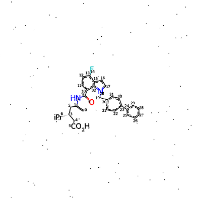 C=C(C[C@H](CC(=O)O)C(C)C)NC(=O)c1ccc(F)c2ccn(Cc3ccc(-c4ccccc4)cc3)c12